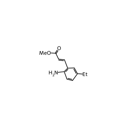 CCc1ccc(N)c(/C=C/C(=O)OC)c1